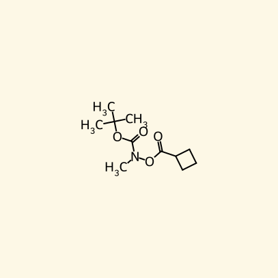 CN(OC(=O)C1CCC1)C(=O)OC(C)(C)C